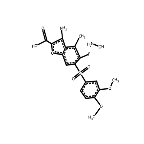 COc1ccc(S(=O)(=O)c2cc3oc(C(=O)O)c(N)c3c(C)c2F)cc1OC.NO